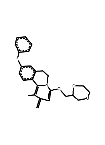 C=C1C=C(OCC2COCCO2)N2CCc3cc(Sc4ccccc4)ccc3C2=C1C